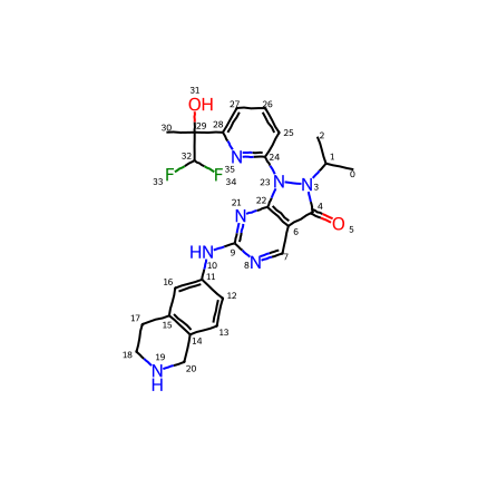 CC(C)n1c(=O)c2cnc(Nc3ccc4c(c3)CCNC4)nc2n1-c1cccc(C(C)(O)C(F)F)n1